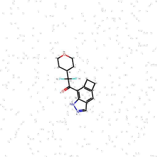 O=C(c1c2c(cc3cn[nH]c13)CC2)C(F)(F)C1CCOCC1